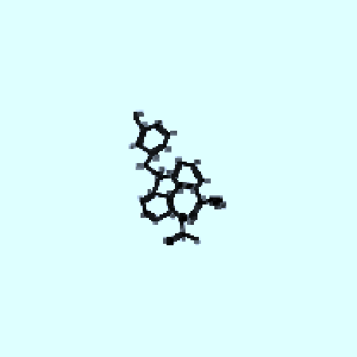 CC(=O)Oc1cccc2c1c1c(C(N)=O)cccc1n2Cc1cccc(I)c1